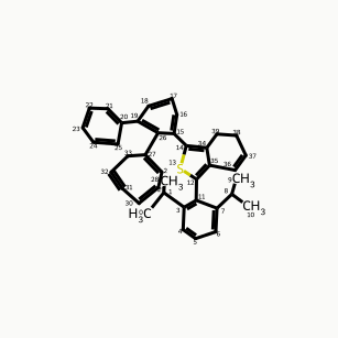 CC(C)c1cccc(C(C)C)c1-c1sc(-c2cccc(-c3ccccc3)c2C2=CC=CC#CC2)c2c1C=CCC2